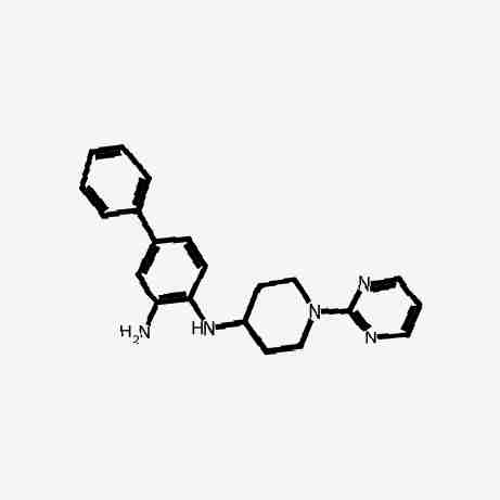 Nc1cc(-c2ccccc2)ccc1NC1CCN(c2ncccn2)CC1